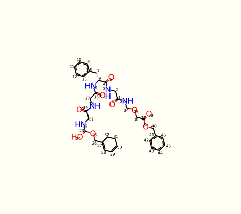 O=C(CNC(=O)[C@@H](Cc1ccccc1)NC(=O)CNC(=O)CNC(O)OCC1=CC=CCC1)NCOCC(=O)OCc1ccccc1